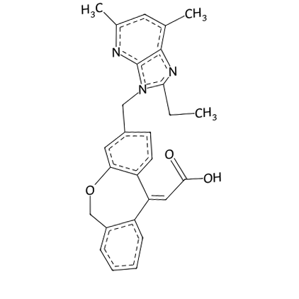 CCc1nc2c(C)cc(C)nc2n1Cc1ccc2c(c1)OCc1ccccc1/C2=C/C(=O)O